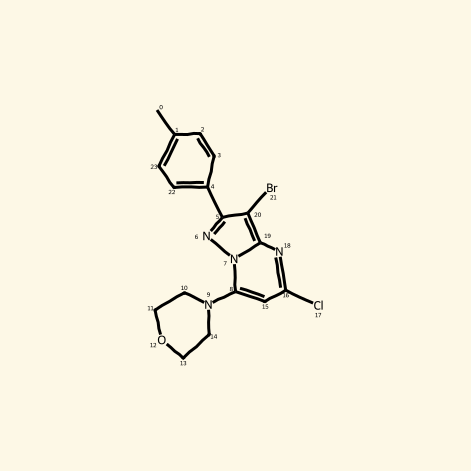 Cc1ccc(-c2nn3c(N4CCOCC4)cc(Cl)nc3c2Br)cc1